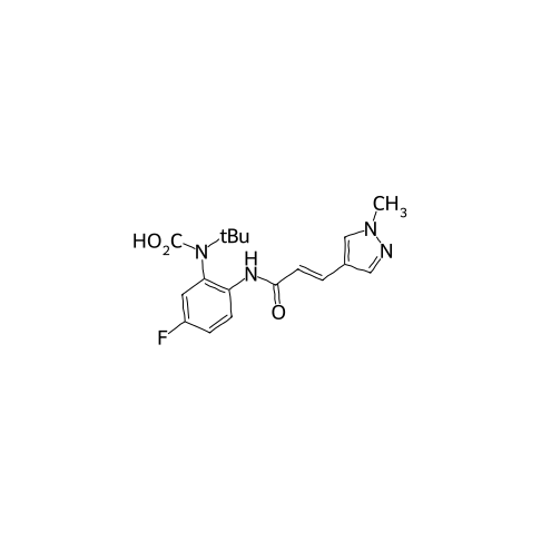 Cn1cc(C=CC(=O)Nc2ccc(F)cc2N(C(=O)O)C(C)(C)C)cn1